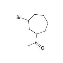 CC(=O)C1CCCCC(Br)C1